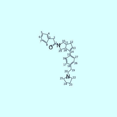 O=C(Cc1ccccc1)N1CC2CC=C(c3ccc(CCN4CCCC4)cc3)C2C1